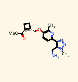 COC(=O)[C@H]1CC[C@@H]1COc1ccc(-c2nnn(C)c2CN)nc1C